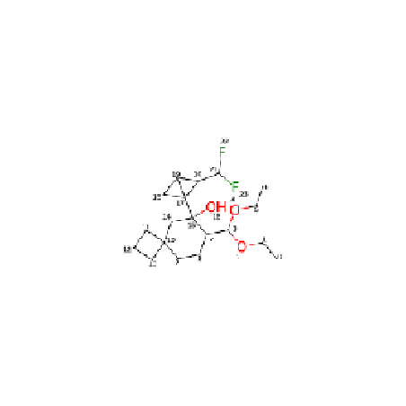 CCOC(OCC)C1CCC2(CCC2)CC1(O)C12CC1C2C(F)F